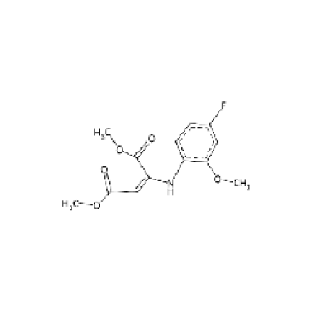 COC(=O)/C=C(/Nc1ccc(F)cc1OC)C(=O)OC